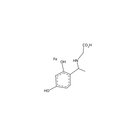 CC(NCC(=O)O)c1ccc(O)cc1O.[Fe]